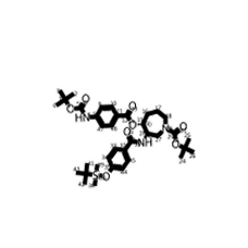 CC(C)(C)OC(=O)Nc1ccc(C(=O)O[C@@H]2CCCN(C(=O)OC(C)(C)C)C[C@H]2NC(=O)c2ccc(O[Si](C)(C)C(C)(C)C)cc2)cc1